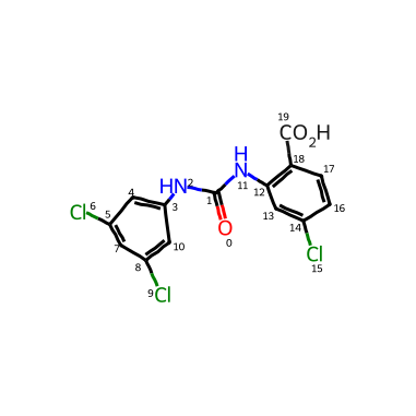 O=C(Nc1cc(Cl)cc(Cl)c1)Nc1cc(Cl)ccc1C(=O)O